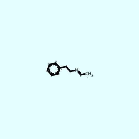 CC=NCCc1ccccc1